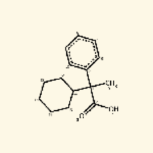 CC(C(=O)O)(c1ccccc1)C1CCCCC1